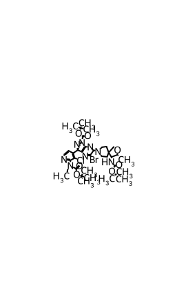 CCN(C(=O)OC(C)(C)C)c1nccc(-c2nn(C(=O)OC(C)(C)C)c3nc(N4CCC5(CC4)CO[C@@H](C)[C@H]5NC(=O)OC(C)(C)C)c(Br)nc23)c1Cl